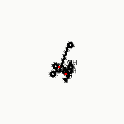 O=C(CCCCCCCCCCc1ccccc1)N(CC(c1ccccc1)c1ccccc1)C1CC[C@@]2(O)[C@H]3Cc4ccc(O)c5c4[C@@]2(CCN3CC2CC2)C1O5